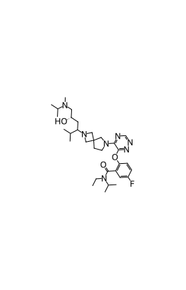 CCN(C(=O)c1cc(F)ccc1Oc1nncnc1N1CCC2(C1)CN(C(C[C@H](O)CN(C)C(C)C)C(C)C)C2)C(C)C